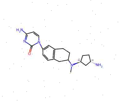 CN(C1CCc2cc(-n3ccc(N)nc3=O)ccc2C1)[C@H]1CC[C@H](N)C1